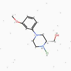 COc1cccc(N2CCN(Cl)[C@@H](CO)C2)c1